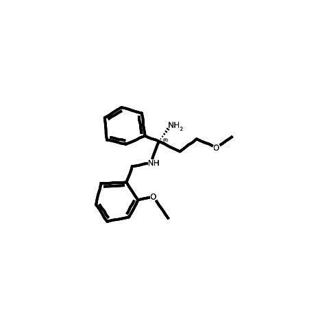 COCC[C@@](N)(NCc1ccccc1OC)c1ccccc1